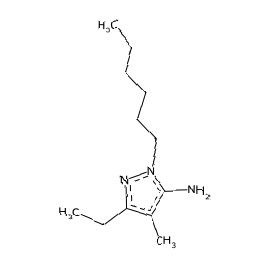 CCCCCCn1nc(CC)c(C)c1N